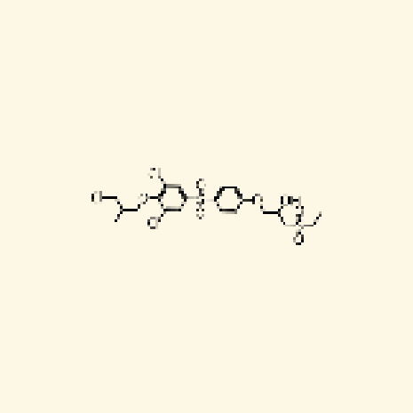 CCS(=O)(=O)CC(O)COc1ccc(S(=O)(=O)c2cc(Cl)c(OCC(C)CCl)c(Cl)c2)cc1